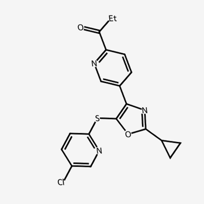 CCC(=O)c1ccc(-c2nc(C3CC3)oc2Sc2ccc(Cl)cn2)cn1